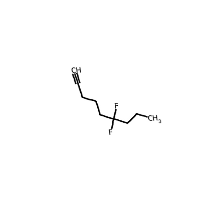 C#CCCCC(F)(F)CCC